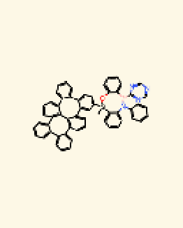 C[Si]1(c2ccc3c(c2)c2cccc4c2-c2c(cccc2c2ccccc23)c2ccccc2c2ccccc42)Oc2ccccc2B(c2ncncn2)N(c2ccccc2)c2ccccc21